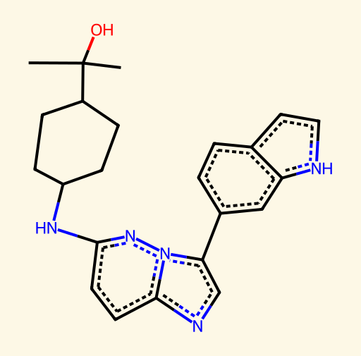 CC(C)(O)C1CCC(Nc2ccc3ncc(-c4ccc5cc[nH]c5c4)n3n2)CC1